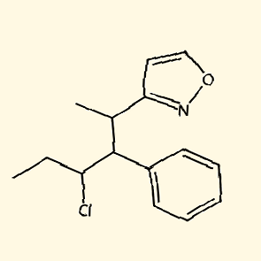 CCC(Cl)C(c1ccccc1)C(C)c1ccon1